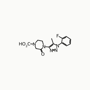 Cc1c(N2CCN(C(=O)O)CC2=O)nnn1-c1ccccc1F